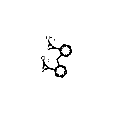 CC1SC1c1ccccc1Cc1ccccc1C1SC1C